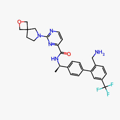 C[C@@H](NC(=O)c1ccnc(N2CCC3(COC3)C2)n1)c1ccc(-c2cc(C(F)(F)F)ccc2CN)cc1